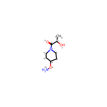 C[C@@H](O)C(=O)N1CCC(ON)CC1